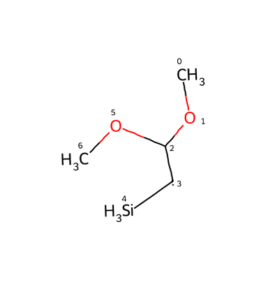 COC([CH][SiH3])OC